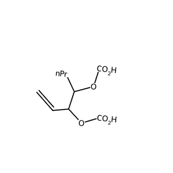 C=CC(OC(=O)O)C(CCC)OC(=O)O